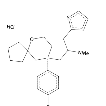 CNC(Cc1cccs1)CC1(c2ccc(F)cc2)CCOC2(CCCC2)C1.Cl